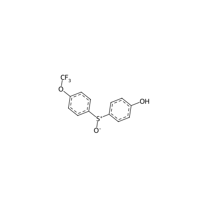 [O-][S+](c1ccc(O)cc1)c1ccc(OC(F)(F)F)cc1